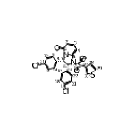 O=c1cccc2n1[C@@H](c1ccc(Cl)cc1)[C@@H](c1ccc(Cl)cc1)N2S(=O)(=O)c1ccsc1